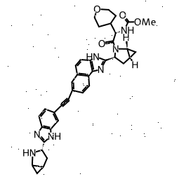 COC(=O)N[C@H](C(=O)N1[C@@H]2C[C@@H]2C[C@H]1c1nc2c(ccc3cc(C#Cc4ccc5nc([C@@H]6CC7CC7N6)[nH]c5c4)ccc32)[nH]1)C1CCOCC1